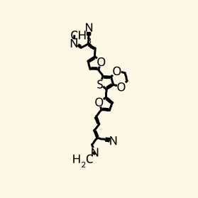 C=NC/C(C#N)=C/C=C/c1ccc(-c2sc(-c3ccc(/C=C(C#N)\C=N/C)o3)c3c2OCCO3)o1